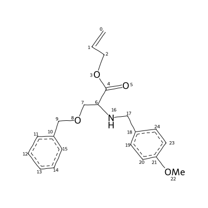 C=CCOC(=O)C(COCc1ccccc1)NCc1ccc(OC)cc1